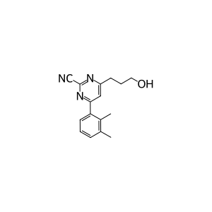 Cc1cccc(-c2cc(CCCO)nc(C#N)n2)c1C